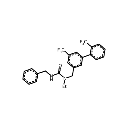 CCN(Cc1cc(-c2ccccc2C(F)(F)F)cc(C(F)(F)F)c1)C(=O)NCc1ccccc1